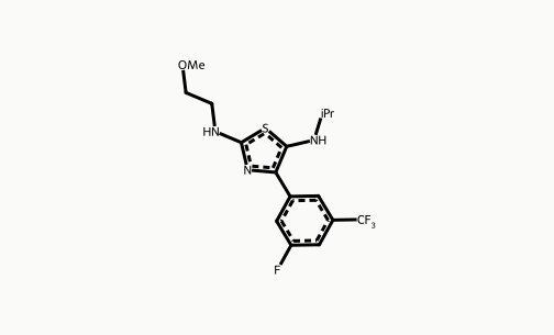 COCCNc1nc(-c2cc(F)cc(C(F)(F)F)c2)c(NC(C)C)s1